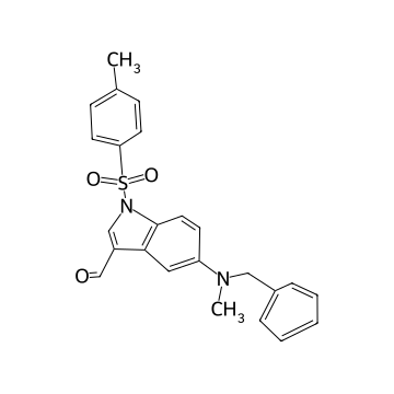 Cc1ccc(S(=O)(=O)n2cc(C=O)c3cc(N(C)Cc4ccccc4)ccc32)cc1